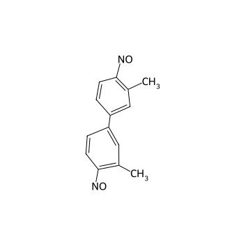 Cc1cc(-c2ccc(N=O)c(C)c2)ccc1N=O